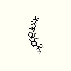 CCOC(=O)c1ccc(CN2CC[C@@H](CNCC(=O)OC(C)(C)C)C2)c(C(F)(F)F)c1